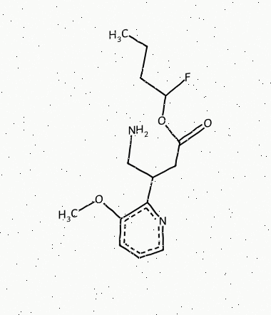 CCCC(F)OC(=O)CC(CN)c1ncccc1OC